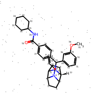 C=CCN1C2CCC1[C@H]1CCC2N1C(c1ccc(C(=O)NC2CCCCC2)cc1)c1cccc(OC)c1